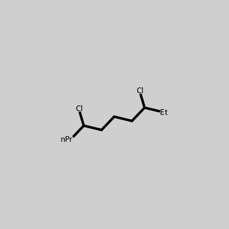 CCCC(Cl)CCCC(Cl)CC